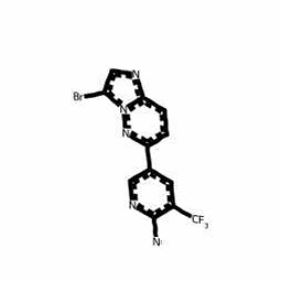 [N]c1ncc(-c2ccc3ncc(Br)n3n2)cc1C(F)(F)F